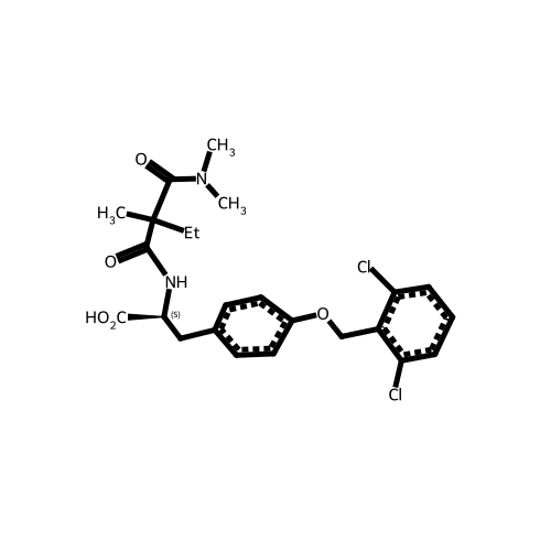 CCC(C)(C(=O)N[C@@H](Cc1ccc(OCc2c(Cl)cccc2Cl)cc1)C(=O)O)C(=O)N(C)C